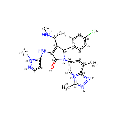 CNC(C)C1=C(Nc2ccnn2C)C(=O)N(c2cc(C)c3nnc(C)n3c2)C1c1ccc(Cl)cc1